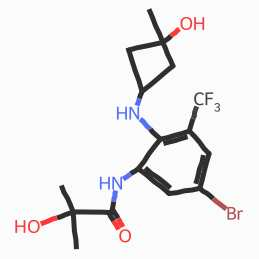 CC1(O)CC(Nc2c(NC(=O)C(C)(C)O)cc(Br)cc2C(F)(F)F)C1